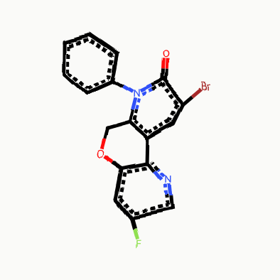 O=c1c(Br)cc2c(n1-c1ccccc1)COc1cc(F)cnc1-2